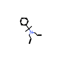 C=CCN(CC=C)C(C)(C)c1ccccc1